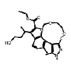 CCOC(=O)c1c(C(C)CCO)c2ccc(C)c3c2n1CCCCOCc1nn(C)c(C)c1-3